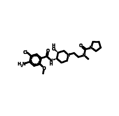 COc1cc(N)c(Cl)cc1C(=O)N[C@H]1CCN(CCN(C)C(=O)N2CCCC2)C[C@H]1O